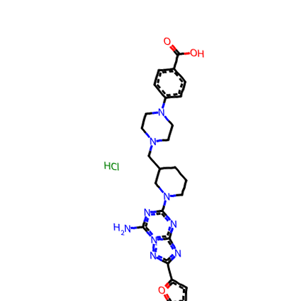 Cl.Nc1nc(N2CCCC(CN3CCN(c4ccc(C(=O)O)cc4)CC3)C2)nc2nc(-c3ccco3)nn12